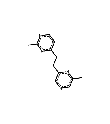 Cc1cncc(CCc2ccnc(C)n2)n1